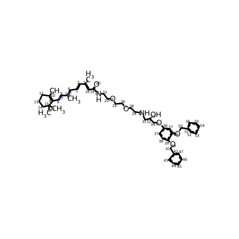 CC(C=C/C=C(C)/C=C/C1=C(C)CCCC1(C)C)=CC(=O)NCCOCCOCCNCC(O)COc1ccc(OCc2ccccc2)c(OCc2ccccc2)c1